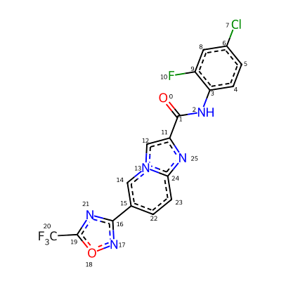 O=C(Nc1ccc(Cl)cc1F)c1cn2cc(-c3noc(C(F)(F)F)n3)ccc2n1